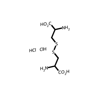 Cl.Cl.NC(CSSCC(N)C(=O)O)C(=O)O